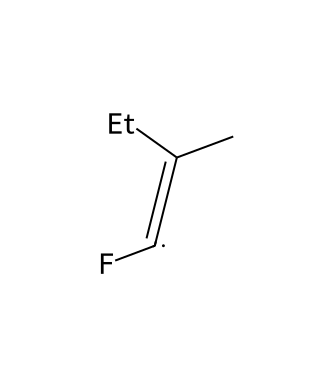 CC/C(C)=[C]\F